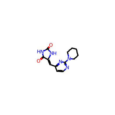 O=C1NC(=O)C(=Cc2ccnc(N3CCCCC3)n2)N1